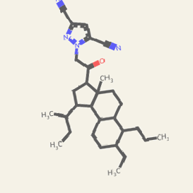 CCCC1C(CC)CCC2C1CCC1(C)C(C(=O)Cn3nc(C#N)cc3C#N)CC(C(C)CC)C21